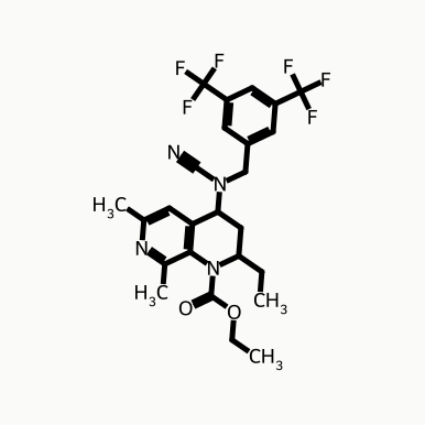 CCOC(=O)N1c2c(cc(C)nc2C)C(N(C#N)Cc2cc(C(F)(F)F)cc(C(F)(F)F)c2)CC1CC